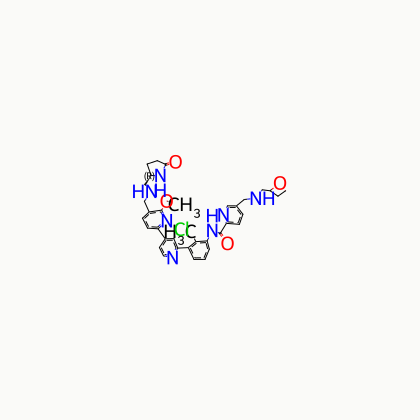 COc1nc(-c2ccnc(-c3cccc(NC(=O)c4ccc(CNCC5CCO5)cn4)c3C)c2Cl)ccc1CNC[C@H]1CCC(=O)N1